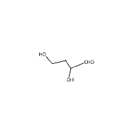 O=[C]C(O)CCO